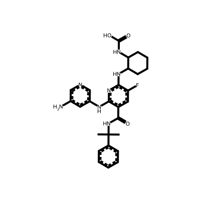 CC(C)(NC(=O)c1cc(F)c(NC2CCCCC2NC(=O)O)nc1Nc1cncc(N)c1)c1ccccc1